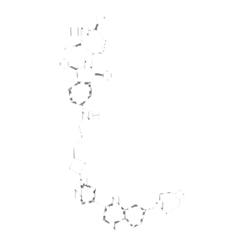 O=C1CCC(N2C(=O)c3ccc(NCCCC4CC(n5cc(-c6cnc7ccc(N8CCOCC8)cc7n6)cn5)C4)cc3C2=O)C(=O)N1